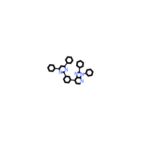 c1ccc(-c2cc(-c3ccccc3)nc(-c3cccc(-c4ccnc5c4nc(-c4ccccc4)n5-c4ccccc4)c3)n2)cc1